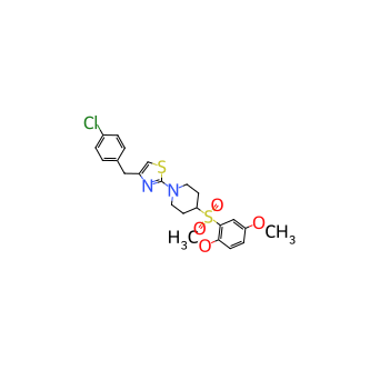 COc1ccc(OC)c(S(=O)(=O)C2CCN(c3nc(Cc4ccc(Cl)cc4)cs3)CC2)c1